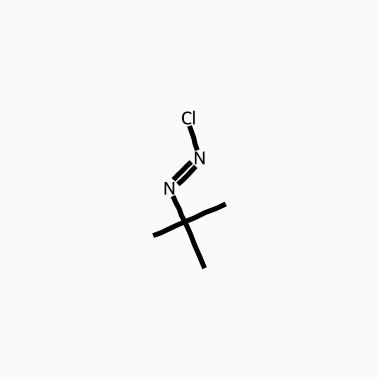 CC(C)(C)/N=N/Cl